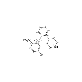 CCc1ccc(C(=O)O)cc1.O=C(O)c1ccccc1C1CCNCC1